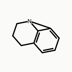 c1cc2c3c(c1)N3CCC2